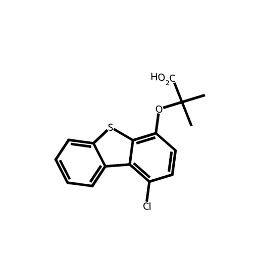 CC(C)(Oc1ccc(Cl)c2c1sc1ccccc12)C(=O)O